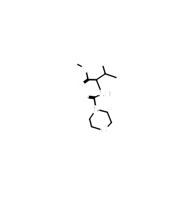 COC(=O)C(NC(=O)N1CCOCC1)C(C)C